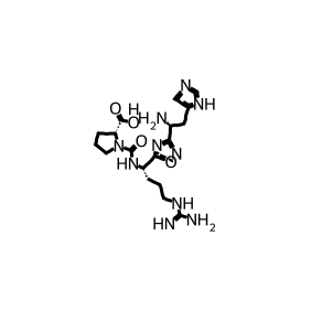 N=C(N)NCCC[C@H](NC(=O)N1CCC[C@@H]1C(=O)O)c1nc([C@@H](N)Cc2cnc[nH]2)no1